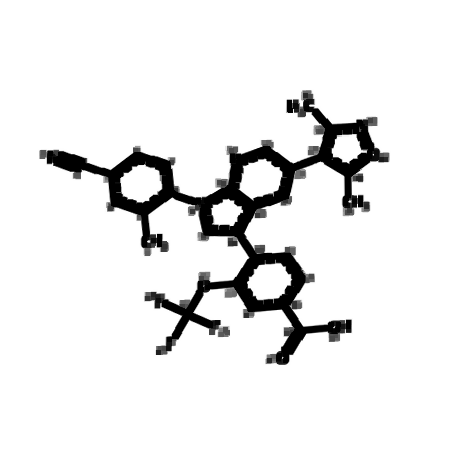 Cc1cc(C#N)ccc1-n1cc(-c2ccc(C(=O)O)cc2OC(F)(F)F)c2cc(-c3c(C)noc3C)cnc21